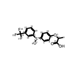 CC(Oc1ccc([S+]([O-])c2cccc(C(F)(F)F)c2)cc1)C(=O)O